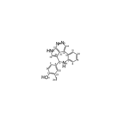 Oc1ccc(C2Nc3ccccc3-c3cnnc4[nH]cc2c34)cc1I